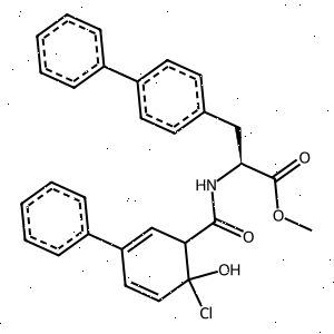 COC(=O)[C@H](Cc1ccc(-c2ccccc2)cc1)NC(=O)C1C=C(c2ccccc2)C=CC1(O)Cl